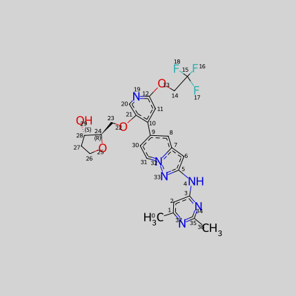 Cc1cc(Nc2cc3cc(-c4cc(OCC(F)(F)F)ncc4OC[C@H]4OCC[C@@H]4O)ccn3n2)nc(C)n1